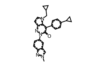 Cn1cc2cc(-n3nc4ccn(CC5CC5)c4c(-c4ccc(C5CC5)cc4)c3=O)ccc2n1